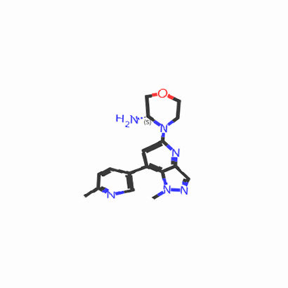 Cc1ccc(-c2cc(N3CCOC[C@H]3N)nc3cnn(C)c23)cn1